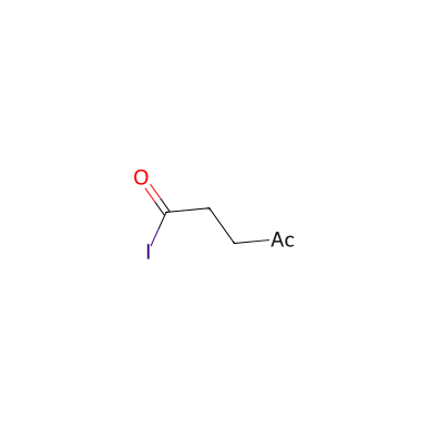 CC(=O)CCC(=O)I